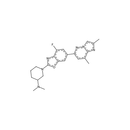 Cc1cn2nc(-c3cc(F)c4nc(N5CCCC(N(C)C)C5)oc4c3)cc(C)c2n1